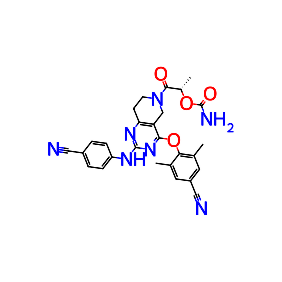 Cc1cc(C#N)cc(C)c1Oc1nc(Nc2ccc(C#N)cc2)nc2c1CN(C(=O)[C@H](C)OC(N)=O)CC2